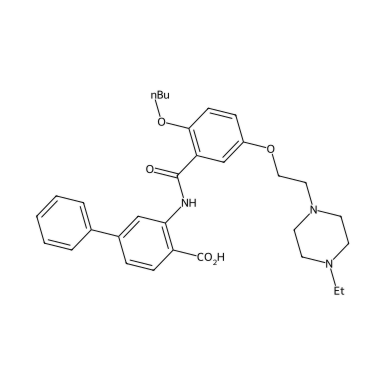 CCCCOc1ccc(OCCN2CCN(CC)CC2)cc1C(=O)Nc1cc(-c2ccccc2)ccc1C(=O)O